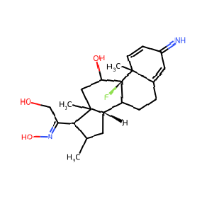 CC1C[C@H]2C3CCC4=CC(=N)C=CC4(C)[C@@]3(F)C(O)CC2(C)C1/C(CO)=N/O